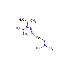 CC(C)N(/N=N/C#CCN(C)C)C(C)C